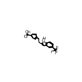 O=C(O)c1ccc(CCc2cc3cc(C(F)(F)F)ccc3[nH]2)cc1